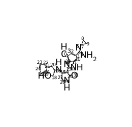 Cc1cc(C(N)=NC2CC2)cc2[nH]c(-c3c(NC(CO)Cc4ccccc4)cc[nH]c3=O)nc12